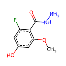 COc1cc(O)cc(F)c1C(=O)NN